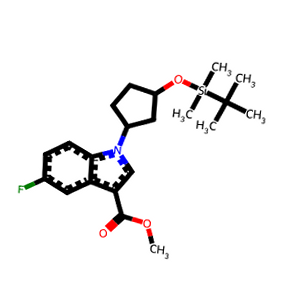 COC(=O)c1cn(C2CCC(O[Si](C)(C)C(C)(C)C)C2)c2ccc(F)cc12